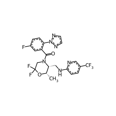 C[C@@H]1OC(F)(F)CN(C(=O)c2cc(F)ccc2-n2nccn2)[C@@H]1CNc1ccc(C(F)(F)F)cn1